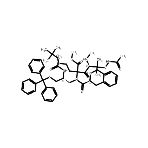 CN[C@H](C(=O)C(CCSC)(C(=O)OC)N(C[C@H](CSC(c1ccccc1)(c1ccccc1)c1ccccc1)NC(=O)OC(C)(C)C)C(=O)[C@@H]1Cc2ccccc2CN1)C(C)(C)SNC(C)=O